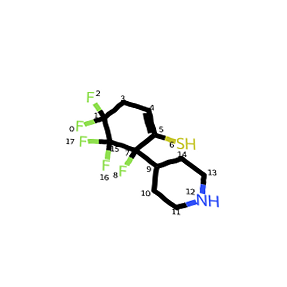 FC1(F)CC=C(S)C(F)(C2CCNCC2)C1(F)F